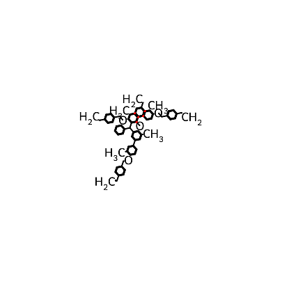 C=Cc1ccc(COc2ccc(-c3cc(C)c(OCc4ccc(C=C)cc4)c(C(c4ccccc4)c4cc(-c5ccc(OCc6ccc(C=C)cc6)c(C)c5)cc(C)c4OCc4ccc(C=C)cc4)c3)cc2C)cc1